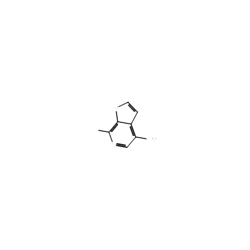 COc1cnc(O)c2[nH]ccc12